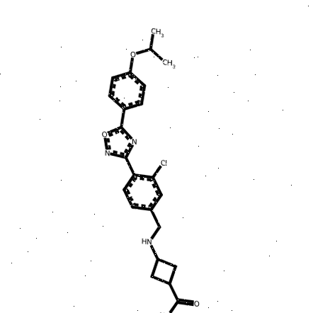 CC(C)Oc1ccc(-c2nc(-c3ccc(CNC4CC(C(=O)O)C4)cc3Cl)no2)cc1